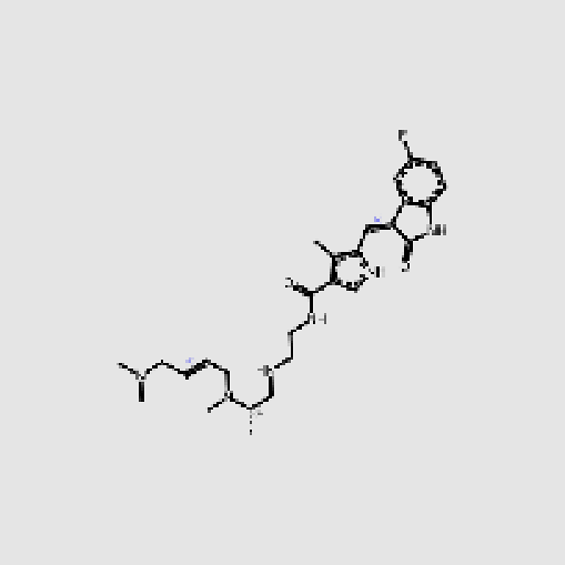 Cc1c(C(=O)NCCNC[C@H](C)N(C)C/C=C/CN(C)C)c[nH]c1/C=C1\C(=O)Nc2ccc(F)cc21